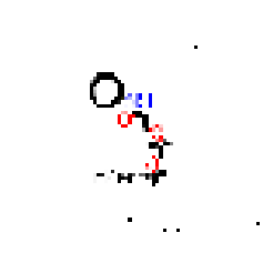 CCCCCC(C)(C)OCC(C)(C)OCCC(=O)NC1CCCCCCC1